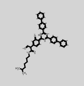 CC(C)CCCCCOC(=O)C(C=O)C1=CC(=O)C(=C2N=C(c3ccc(-c4ccccc4)cc3)N=C(c3ccc(-c4ccccc4)cc3)N2)C=C1